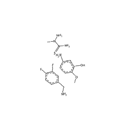 CN(N)C(N)=S.COc1ccc(N)cc1O.NCc1ccc(F)c(F)c1